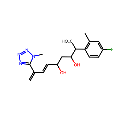 C=C(C=CC(O)CC(O)C(C(=O)O)c1ccc(F)cc1C)c1nnnn1C